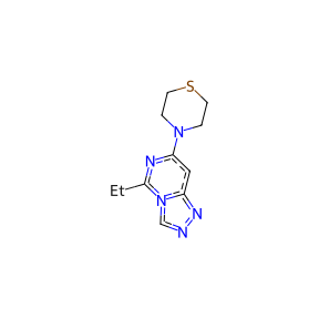 CCc1nc(N2CCSCC2)cc2nncn12